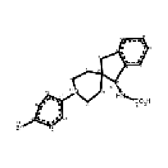 O=C(O)N[C@@H]1c2ccccc2CC12CCN(c1ccc(Br)nc1)CC2